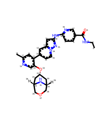 CCNC(=O)c1ccc(Nc2cc3cc(-c4cc(C)ncc4O[C@H]4C[C@H]5COC[C@@H](C4)N5)ccn3n2)nc1